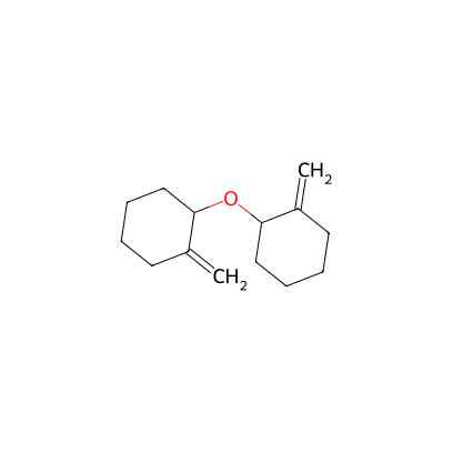 C=C1CCCCC1OC1CCCCC1=C